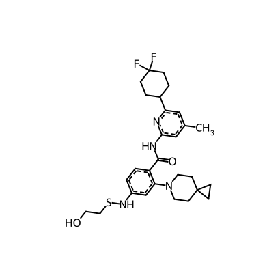 Cc1cc(NC(=O)c2ccc(NSCCO)cc2N2CCC3(CC2)CC3)nc(C2CCC(F)(F)CC2)c1